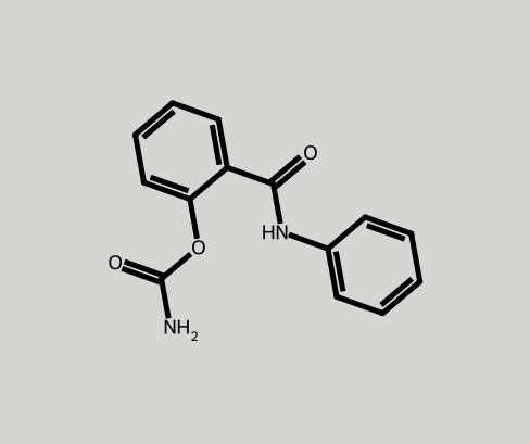 NC(=O)Oc1ccccc1C(=O)Nc1ccccc1